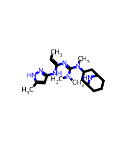 C/C=C(\N=C(/N(C)C)N(C)C1CC2CCCC(C1)N2)Nc1cc(C)[nH]n1